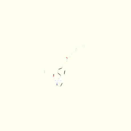 CCCCOC(=O)COc1ccc(-n2cccn2)c(C(C)=O)c1